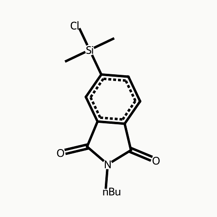 CCCCN1C(=O)c2ccc([Si](C)(C)Cl)cc2C1=O